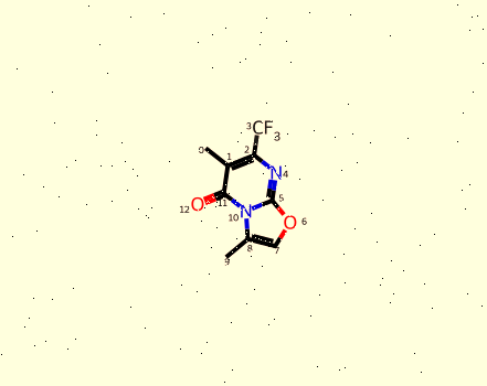 Cc1c(C(F)(F)F)nc2occ(C)n2c1=O